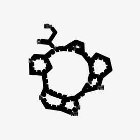 CC(C)(C)CC(=O)n1c2cncc(c2)c2cc3c(cn2)[nH]nc3c2nc3c(cccc3c3ccc1s3)[nH]2